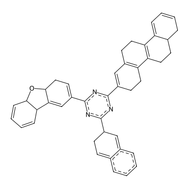 C1=CCC2CCC3=C(CCC4=C3CCC(c3nc(C5=CCC6OC7C=CC=CC7C6=C5)nc(C5C=c6ccccc6=CC5)n3)=C4)C2=C1